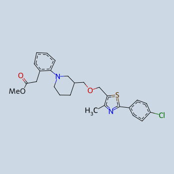 COC(=O)Cc1ccccc1N1CCCC(COCc2sc(-c3ccc(Cl)cc3)nc2C)C1